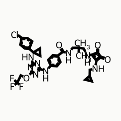 CC(C)(CNC(=O)c1ccc(Nc2nc(NC3(c4ccc(Cl)cc4)CC3)nc(OCC(F)(F)F)n2)cc1)CNc1c(NCC2CC2)c(=O)c1=O